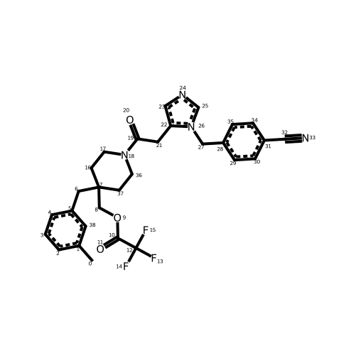 Cc1cccc(CC2(COC(=O)C(F)(F)F)CCN(C(=O)Cc3cncn3Cc3ccc(C#N)cc3)CC2)c1